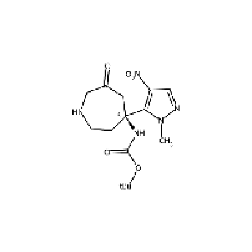 Cn1ncc([N+](=O)[O-])c1[C@]1(NC(=O)OC(C)(C)C)CCNCC(=O)C1